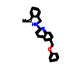 COc1ccccc1CNc1ccc2cc(COc3ccccc3)ccc2n1